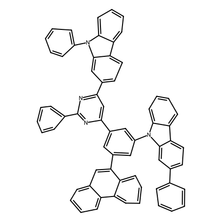 c1ccc(-c2ccc3c4ccccc4n(-c4cc(-c5cc(-c6ccc7c8ccccc8n(-c8ccccc8)c7c6)nc(-c6ccccc6)n5)cc(-c5cc6ccccc6c6ccccc56)c4)c3c2)cc1